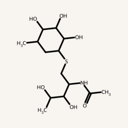 CC(=O)NC(CSC1CC(C)C(O)C(O)C1O)C(O)C(C)O